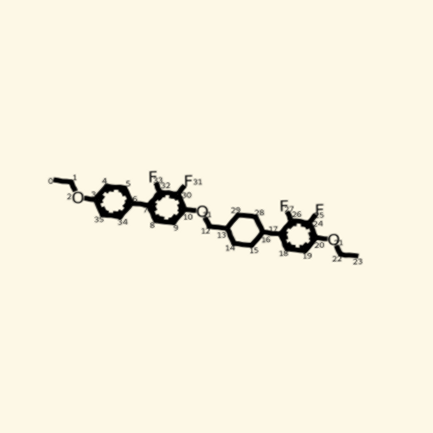 CCOc1ccc(-c2ccc(OCC3CCC(c4ccc(OCC)c(F)c4F)CC3)c(F)c2F)cc1